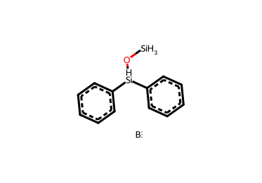 [B].[SiH3]O[SiH](c1ccccc1)c1ccccc1